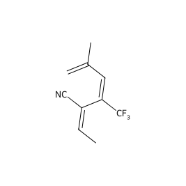 C=C(C)/C=C(\C(C#N)=C/C)C(F)(F)F